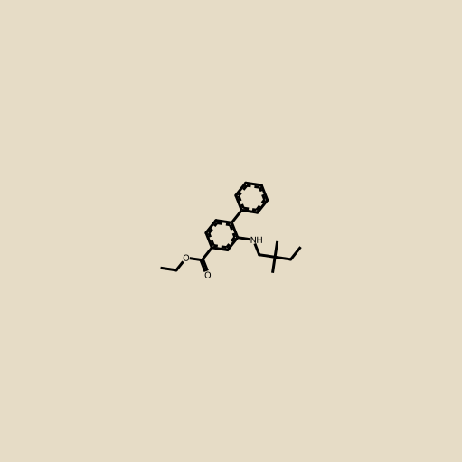 CCOC(=O)c1ccc(-c2ccccc2)c(NCC(C)(C)CC)c1